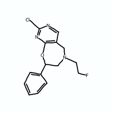 FCCN1Cc2cnc(Cl)nc2OC(c2ccccc2)C1